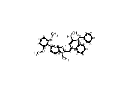 CNC1=CC(=Cc2sc3cc(-c4c(OC)cccc4OC)ccc3[n+]2C)c2ccccc2N1Cc1ccccc1